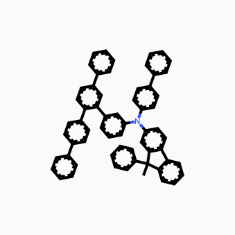 CC1(c2ccccc2)c2ccccc2-c2ccc(N(c3ccc(-c4ccccc4)cc3)c3cccc(-c4cc(-c5ccccc5)ccc4-c4ccc(-c5ccccc5)cc4)c3)cc21